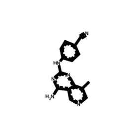 Cc1cncc2c(N)nc(Nc3ccc(C#N)cc3)nc12